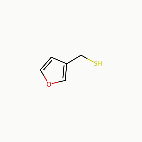 SCc1ccoc1